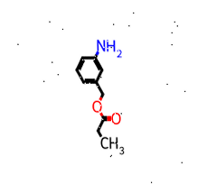 CCC(=O)OCc1cccc(N)c1